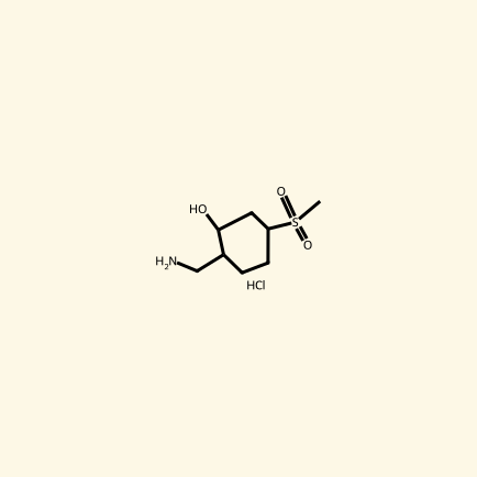 CS(=O)(=O)C1CCC(CN)C(O)C1.Cl